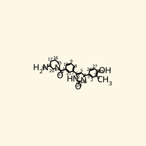 Cc1cc(-c2cc(-c3cccc(C(=O)N4CCCC(N)C4)c3)[nH]c(=O)n2)ccc1O